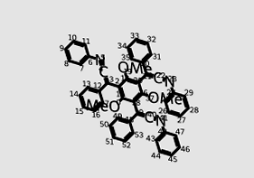 COc1c(C(=C=Nc2ccccc2)c2ccccc2)c(OC)c(C(=C=Nc2ccccc2)c2ccccc2)c(OC)c1C(=C=Nc1ccccc1)c1ccccc1